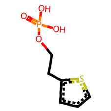 O=P(O)(O)OCCc1cccs1